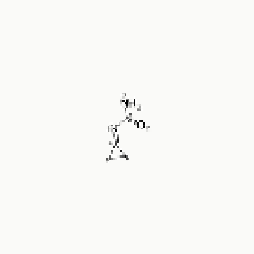 NC(=O)N=C1CC1